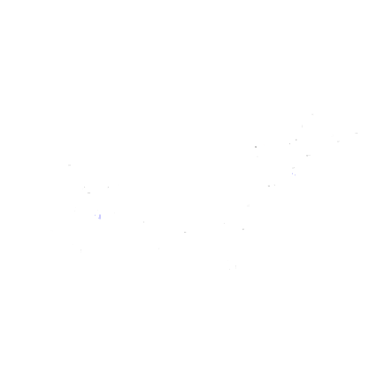 C=C(C)CC(NCCCCOCC(C)OCCCC(=O)NC(CC(C)=O)C(C)=O)C(C)=O